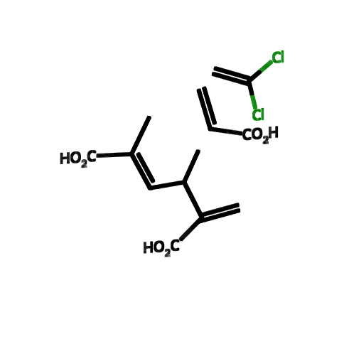 C=C(C(=O)O)C(C)C=C(C)C(=O)O.C=C(Cl)Cl.C=CC(=O)O